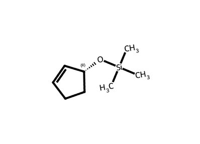 C[Si](C)(C)O[C@H]1C=CCC1